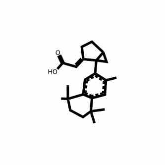 Cc1cc2c(cc1C13CC1CCC3=CC(=O)O)C(C)(C)CCC2(C)C